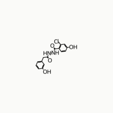 O=C(Cc1cccc(O)c1)NNC(=O)c1ccc(O)cc1Cl